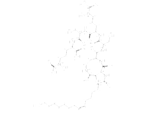 CCCCCCCC/C=C\CCCCCC(=O)NC1C(=O)NC(C(=O)NC(CO)C(=O)NC(CCCN(O)C(C)=O)C(=O)NC(CO)C(=O)NC(CCCN(O)C(C)=O)C(=O)O)CCNC(=O)C1O